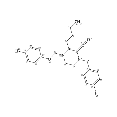 CCCCC1C(=C=O)N(Cc2ccc(F)cc2)CCN1COc1ccc(Cl)cc1